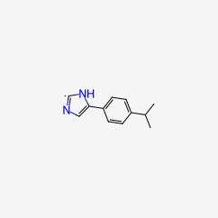 CC(C)c1ccc(-c2cn[c][nH]2)cc1